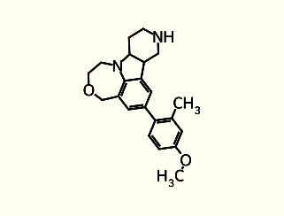 COc1ccc(-c2cc3c4c(c2)C2CNCCC2N4CCOC3)c(C)c1